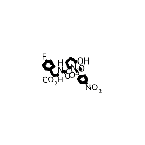 O=C(O)C(Cc1ccc(F)cc1)NC(=O)[C@@H]1CCC(O)N1S(=O)(=O)c1ccc([N+](=O)[O-])cc1